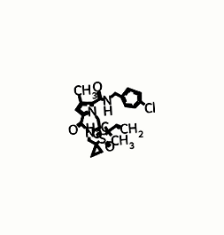 C=CC(C)(C)S(=O)(=O)C1(CN2CCn3c(cc(C)c3C(=O)NCc3ccc(Cl)cc3)C2=O)CC1